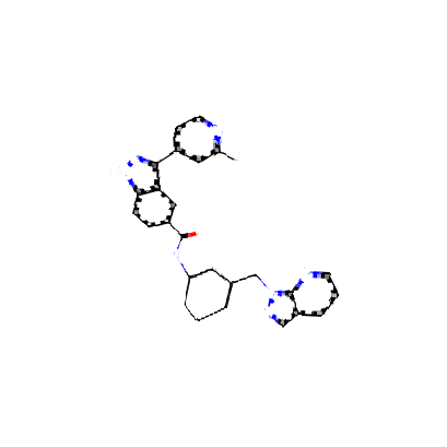 Cc1cc(-c2n[nH]c3ccc(C(=O)NC4CCCC(Cn5ncc6cccnc65)C4)cc23)ccn1